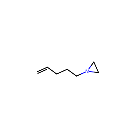 C=CCCCN1CC1